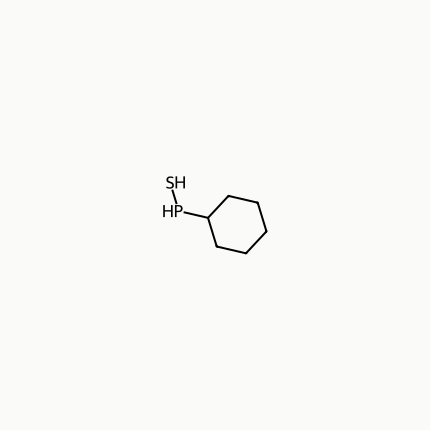 SPC1CCCCC1